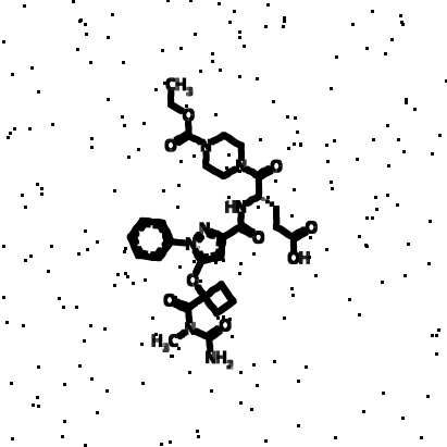 CCOC(=O)N1CCN(C(=O)[C@H](CCC(=O)O)NC(=O)c2cc(OC3(C(=O)N(C)C(N)=O)CCC3)n(-c3ccccc3)n2)CC1